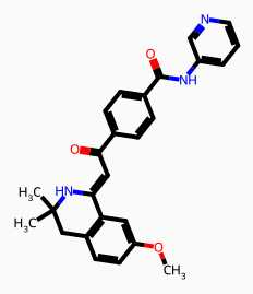 COc1ccc2c(c1)C(=CC(=O)c1ccc(C(=O)Nc3cccnc3)cc1)NC(C)(C)C2